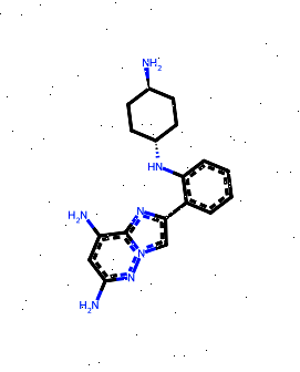 Nc1cc(N)c2nc(-c3ccccc3N[C@H]3CC[C@H](N)CC3)cn2n1